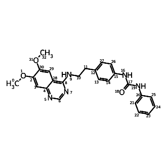 COc1cc2ncnc(NCCc3ccc(NC(=O)Nc4ccccc4)cc3)c2cc1OC